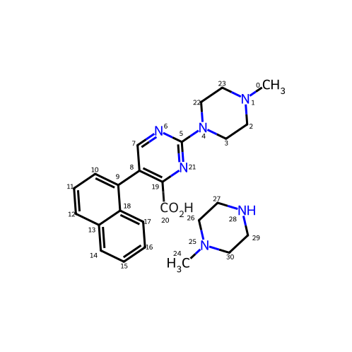 CN1CCN(c2ncc(-c3cccc4ccccc34)c(C(=O)O)n2)CC1.CN1CCNCC1